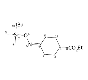 CCOC(=O)C1CCC(=NO[Si](C)(C)C(C)(C)C)CC1